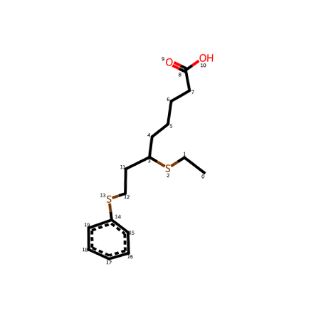 CCSC(CCCCC(=O)O)CCSc1ccccc1